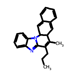 CCCC1=C(C)C2C=c3ccccc3=CC2n2c1nc1ccccc12